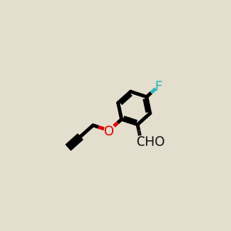 C#CCOc1ccc(F)cc1C=O